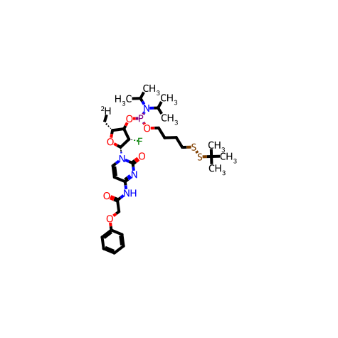 [2H]C[C@H]1O[C@@H](n2ccc(NC(=O)COc3ccccc3)nc2=O)[C@@H](F)C1OP(OCCCCSSC(C)(C)C)N(C(C)C)C(C)C